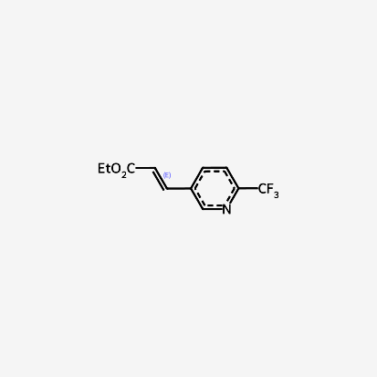 CCOC(=O)/C=C/c1ccc(C(F)(F)F)nc1